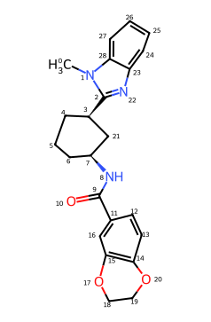 Cn1c([C@@H]2CCC[C@H](NC(=O)c3ccc4c(c3)OCCO4)C2)nc2ccccc21